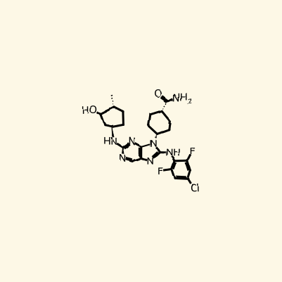 C[C@@H]1CC[C@@H](Nc2ncc3nc(Nc4c(F)cc(Cl)cc4F)n([C@H]4CC[C@@H](C(N)=O)CC4)c3n2)CC1O